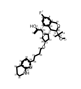 C=C(O)[C@H](c1cc(F)cc2c1C[C@H](C(C)(C)OC)OC2)N1CC[C@@H](OCCCCc2ccc3c(n2)NCCC3)C1